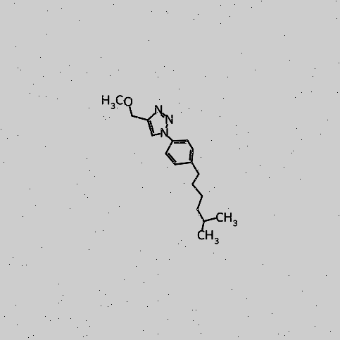 COCc1cn(-c2ccc(CCCCC(C)C)cc2)nn1